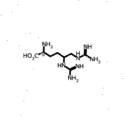 N=C(N)NCC(CC[C@H](N)C(=O)O)NC(=N)N